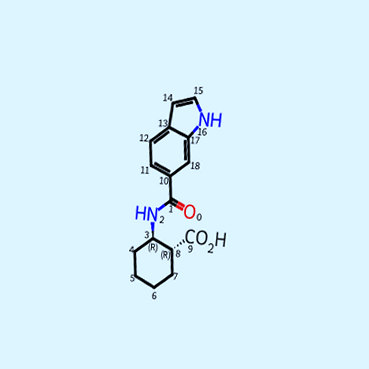 O=C(N[C@@H]1CCCC[C@H]1C(=O)O)c1ccc2cc[nH]c2c1